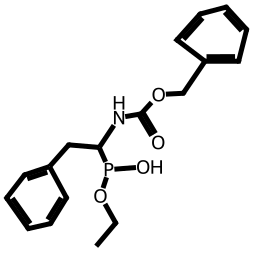 CCOP(O)C(Cc1ccccc1)NC(=O)OCc1ccccc1